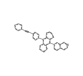 C(#Cc1ccc(-c2c3ccccc3c(-c3ccc4ccncc4c3)c3ccccc23)cc1)c1ccccc1